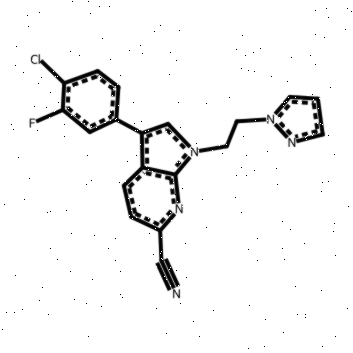 N#Cc1ccc2c(-c3ccc(Cl)c(F)c3)cn(CCn3cccn3)c2n1